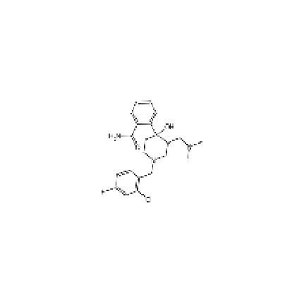 CN(C)CC1CN(Cc2ccc(F)cc2Cl)CCC1(O)c1ccccc1C(N)=O